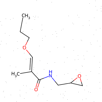 CCCOC=C(C)C(=O)NCC1CO1